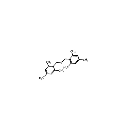 Cc1cc(C)c(CSCc2c(C)cc(C)cc2C)c(C)c1